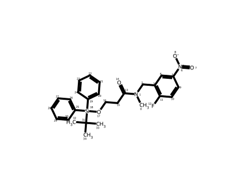 CN(Cc1cc([N+](=O)[O-])ccc1F)C(=O)CCO[Si](c1ccccc1)(c1ccccc1)C(C)(C)C